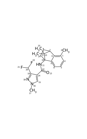 Cc1cccc2c1C1CCC2(NC(=O)c2cn(C)nc2C(F)F)C1(C)C